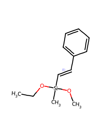 CCO[Si](C)(/C=C/c1ccccc1)OC